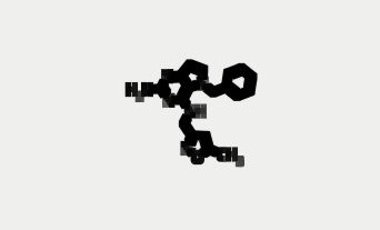 Cc1cc(CNc2nc(N)nc3ccn(Cc4ccccc4)c23)no1